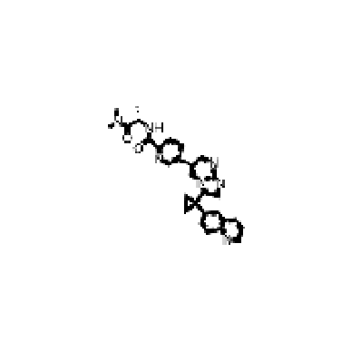 C[C@H](NC(=O)c1ccc(-c2cnc3ncc(C4(c5ccc6ncccc6c5)CC4)n3c2)cn1)C(=O)N(C)C